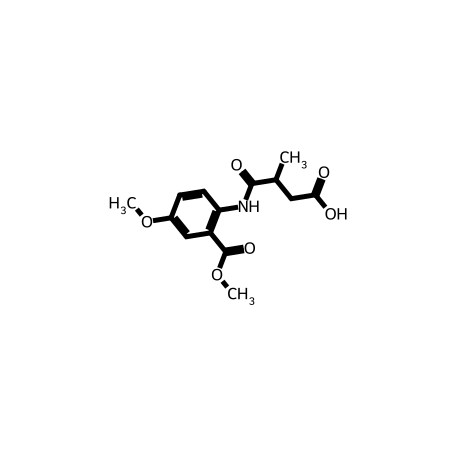 COC(=O)c1cc(OC)ccc1NC(=O)C(C)CC(=O)O